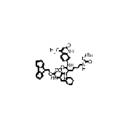 Cc1cc(=O)[nH]c2cc(NC(=O)C(CCCCNC(=O)OC(C)(C)C)NC(=O)C(CC3CCCCC3)NC(=O)OCC3c4ccccc4-c4ccccc43)ccc12